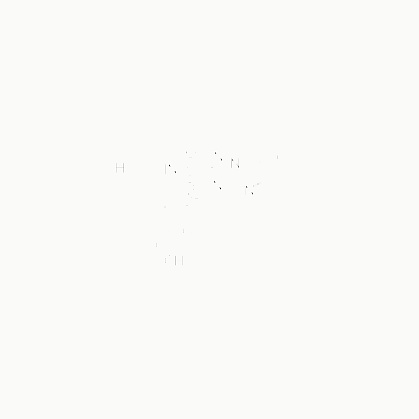 COC(=O)c1ccc(C)c(NS(=O)(=O)c2nc3ncc(C)cn3n2)c1Br